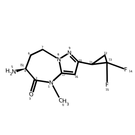 CN1C(=O)[C@@H](N)CCn2nc(C3CC3(F)F)cc21